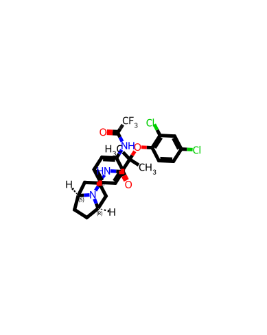 CC(C)(Oc1ccc(Cl)cc1Cl)C(=O)N[C@H]1C[C@H]2CC[C@@H](C1)N2c1ccc(NC(=O)C(F)(F)F)cc1